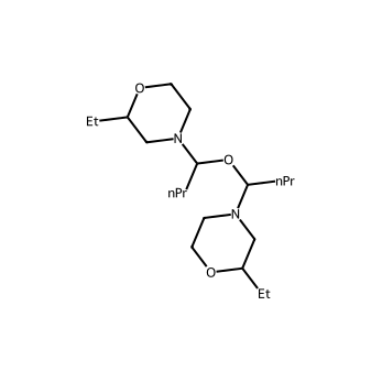 CCCC(OC(CCC)N1CCOC(CC)C1)N1CCOC(CC)C1